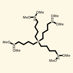 CO[SiH](CCCC[Si](CCCC[SiH](OC)OC)(CCCC[SiH](OC)OC)CCCC[SiH](OC)OC)OC